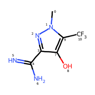 Cn1nc(C(=N)N)c(O)c1C(F)(F)F